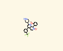 COc1ccccc1-c1c2nc(C3CCNCC3)cc(-c3cccc(C(F)(F)F)c3)c2cc[n+]1[O-]